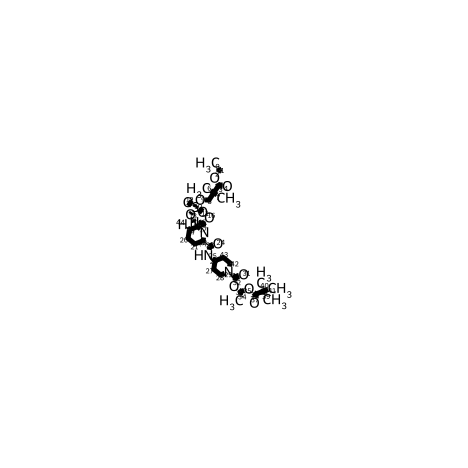 CCOC(=O)C(C)(C)COS(=O)(=O)ON1C(=O)N2C[C@H]1CC[C@H]2C(=O)NC1CCN(C(=O)OC(C)OC(=O)C(C)(C)C)CC1